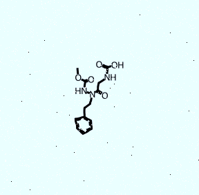 COC(=O)NN(CCc1ccccc1)C(=O)CNC(=O)O